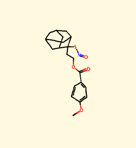 COc1ccc(C(=O)OCCC2(SN=O)C3CC4CC(C3)CC2C4)cc1